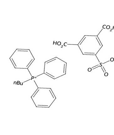 CCCC[P+](c1ccccc1)(c1ccccc1)c1ccccc1.O=C(O)c1cc(C(=O)O)cc(S(=O)(=O)[O-])c1